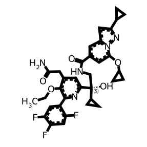 CCOc1c(CC(N)=O)cc([C@@](O)(CNC(=O)c2cc(OC3CC3)n3nc(C4CC4)cc3c2)C2CC2)nc1-c1cc(F)c(F)cc1F